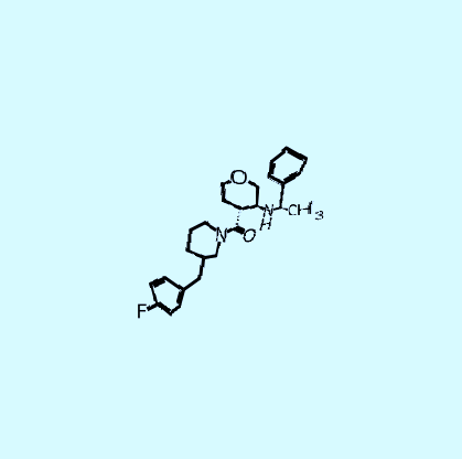 C[C@@H](N[C@@H]1COCC[C@H]1C(=O)N1CCCC(Cc2ccc(F)cc2)C1)c1ccccc1